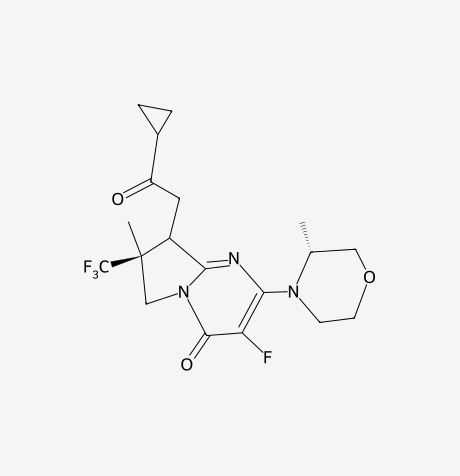 C[C@@H]1COCCN1c1nc2n(c(=O)c1F)C[C@@](C)(C(F)(F)F)C2CC(=O)C1CC1